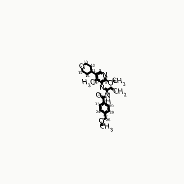 C=C/C(=N\c1c(OC)ncc(C2CCOCC2)c1C)NC(=O)c1ccc(COC)cc1